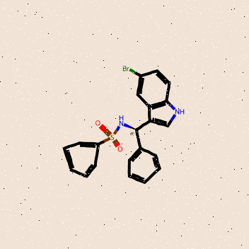 O=S(=O)(N[C@H](c1ccccc1)c1c[nH]c2ccc(Br)cc12)c1ccccc1